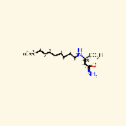 CCCCCCCCCCCCCCCCCCN[C@H](CC(N)=O)C(=O)O